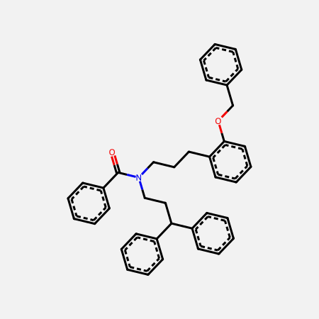 O=C(c1ccccc1)N(CCCc1ccccc1OCc1ccccc1)CCC(c1ccccc1)c1ccccc1